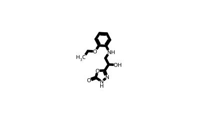 CCOc1ccccc1NCC(O)c1n[nH]c(=O)o1